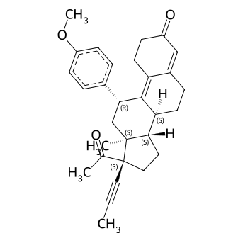 CC#C[C@]1(C(C)=O)CC[C@H]2[C@@H]3CCC4=CC(=O)CCC4=C3[C@@H](c3ccc(OC)cc3)C[C@@]21C